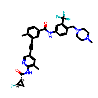 Cc1ccc(C(=O)Nc2ccc(CN3CCN(C)CC3)c(C(F)(F)F)c2)cc1C#Cc1cnc(NC(=O)[C@@H]2C[C@H]2F)c(C)c1